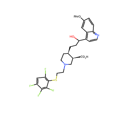 COc1ccc2nccc(C(O)CC[C@@H]3CCN(CCSc4c(F)cc(F)c(F)c4F)C[C@@H]3C(=O)O)c2c1